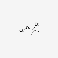 C[CH]O[Si](C)(C)CC